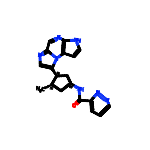 C[C@H]1C[C@H](NC(=O)c2cccnn2)C[C@@H]1c1cnc2cnc3[nH]ccc3n12